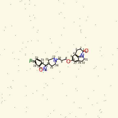 O=C1CCc2cc(OCCCN3CCC(c4noc5cc(F)ccc45)CC3)cc3c2N1CC3